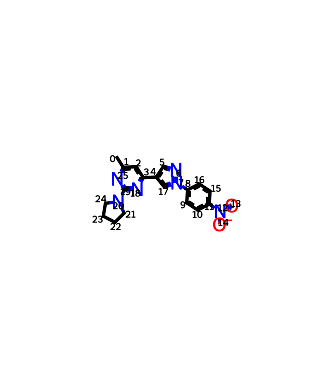 Cc1cc(-c2cnn(-c3ccc([N+](=O)[O-])cc3)c2)nc(N2CCCC2)n1